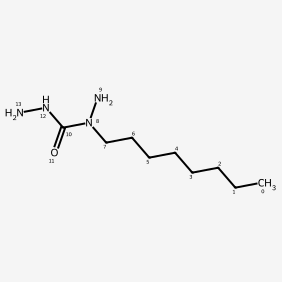 CCCCCCCCN(N)C(=O)NN